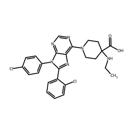 CCNC1(C(=O)O)CCN(c2ncnc3c2nc(-c2ccccc2Cl)n3-c2ccc(Cl)cc2)CC1